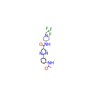 CC(=O)Nc1cccc(-c2ncc(C(=O)NC3CCN(CC(F)(F)F)CC3)cn2)c1